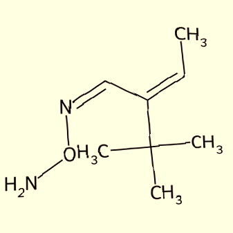 C/C=C(\C=N/ON)C(C)(C)C